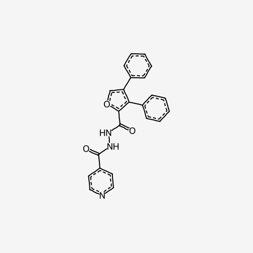 O=C(NNC(=O)c1occ(-c2ccccc2)c1-c1ccccc1)c1ccncc1